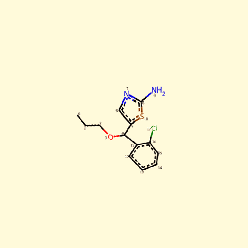 CCCOC(c1cnc(N)s1)c1ccccc1Cl